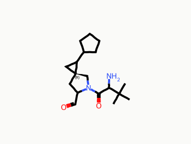 CC(C)(C)C(N)C(=O)N1C[C@@]2(CC1C=O)CC2C1CCCC1